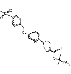 CC(C)(N)OC(=O)N1CCN(c2ncc(OCc3ccc(S(C)(=O)=O)cc3)cn2)CC1